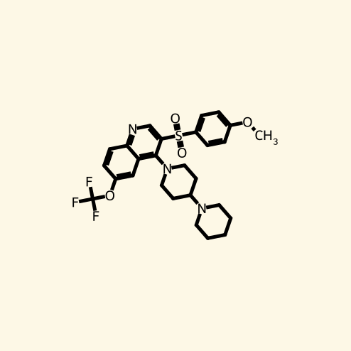 COc1ccc(S(=O)(=O)c2cnc3ccc(OC(F)(F)F)cc3c2N2CCC(N3CCCCC3)CC2)cc1